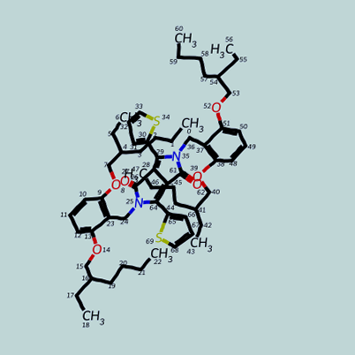 CCCCC(CC)COc1cccc(OCC(CC)CCCC)c1CN1C(=O)C2=C(c3cccs3)N(Cc3c(OCC(CC)CCCC)cccc3OCC(CC)CCCC)C(=O)C2=C1c1cccs1